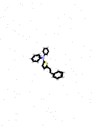 C(=Cc1ccc(N(c2ccccc2)c2ccccc2)s1)c1ccccc1